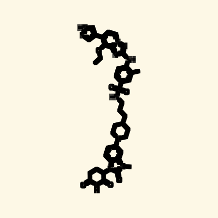 CCOc1c(-c2cn[nH]c2)ccn2nc(Nc3ccc(S(=O)(=O)NCCCC4CCN(c5ccc6c(c5)n(C)c(=O)n6C5CCC(=O)NC5=O)CC4)cc3C)nc12